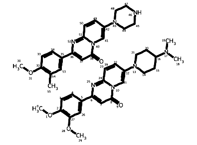 COc1ccc(-c2cc(=O)n3cc(N4CCC(N(C)C)CC4)ccc3n2)cc1OC.COc1ccc(-c2cc(=O)n3cc(N4CCNCC4)ccc3n2)cc1C